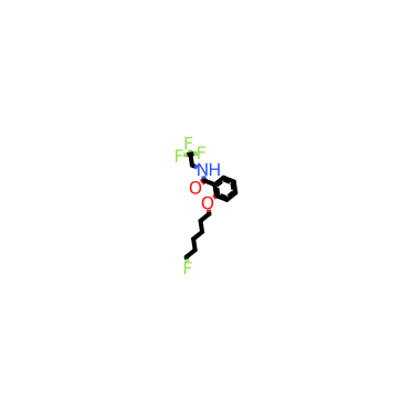 O=C(NCC(F)(F)F)c1ccccc1OCCCCCCF